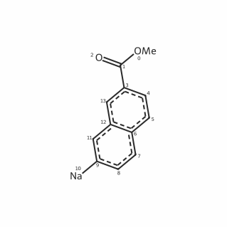 COC(=O)c1ccc2cc[c]([Na])cc2c1